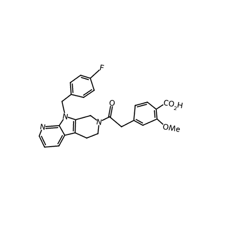 COc1cc(CC(=O)N2CCc3c(n(Cc4ccc(F)cc4)c4ncccc34)C2)ccc1C(=O)O